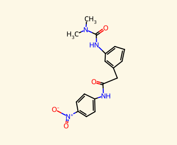 CN(C)C(=O)Nc1cccc(CC(=O)Nc2ccc([N+](=O)[O-])cc2)c1